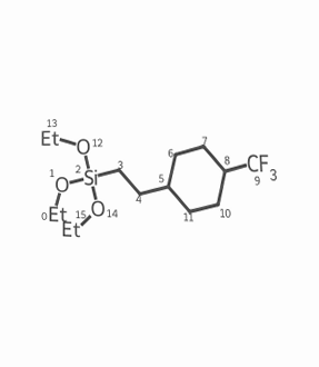 CCO[Si](CCC1CCC(C(F)(F)F)CC1)(OCC)OCC